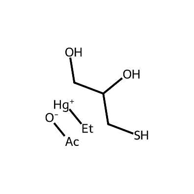 CC(=O)[O-].C[CH2][Hg+].OCC(O)CS